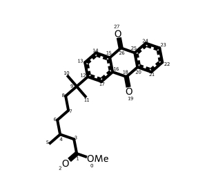 COC(=O)CC(C)CCCC(C)(C)c1ccc2c(c1)C(=O)c1ccccc1C2=O